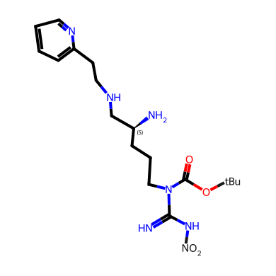 CC(C)(C)OC(=O)N(CCC[C@H](N)CNCCc1ccccn1)C(=N)N[N+](=O)[O-]